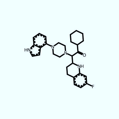 O=C(C1CCCCC1)C(C1CCc2ccc(F)cc2N1)N1CCN(c2cccc3[nH]ccc23)CC1